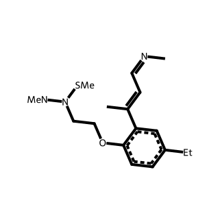 CCc1ccc(OCCN(NC)SC)c(/C(C)=C/C=N\C)c1